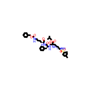 Cc1ccc(S(=O)(=O)NCCCC[C@@](N)(C(=O)N[C@@H](Cc2ccccc2)C(=O)N[C@H](C=O)CCCCNC(=O)OCc2ccccc2)C(=O)OCC(C)C)cc1